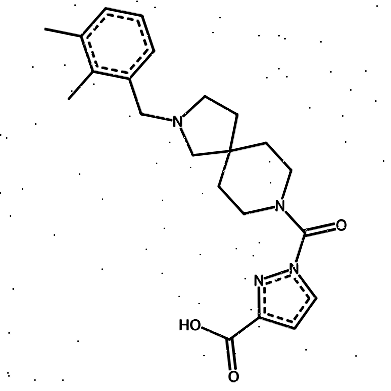 Cc1cccc(CN2CCC3(CCN(C(=O)n4ccc(C(=O)O)n4)CC3)C2)c1C